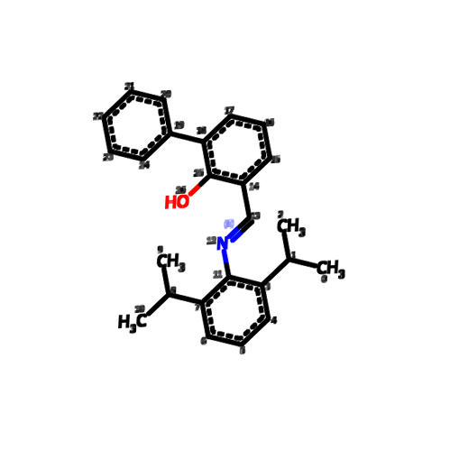 CC(C)c1cccc(C(C)C)c1/N=C/c1cccc(-c2ccccc2)c1O